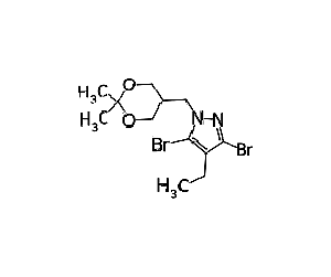 CCc1c(Br)nn(CC2COC(C)(C)OC2)c1Br